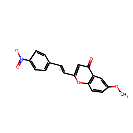 COc1ccc2oc(/C=C/c3ccc([N+](=O)[O-])cc3)cc(=O)c2c1